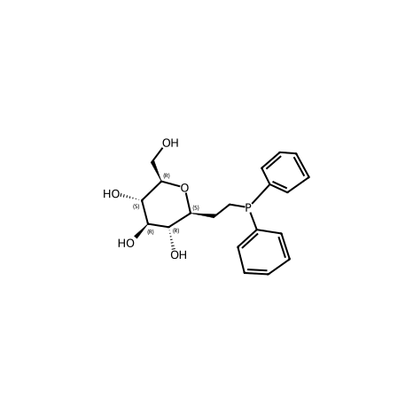 OC[C@H]1O[C@@H](CCP(c2ccccc2)c2ccccc2)[C@H](O)[C@@H](O)[C@@H]1O